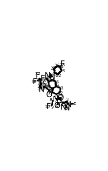 Cn1cc(S(=O)(=O)N(CCF)[C@H]2CCC3=Cc4c(cnn4-c4ccc(F)cc4)C[C@]3(C(=O)c3ncc(C(F)(F)F)s3)C2)nn1